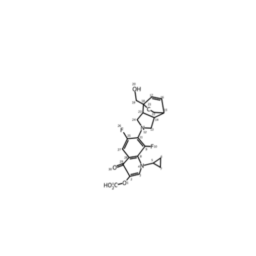 O=C(O)Oc1cn(C2CC2)c2c(F)c(N3CC4C5C=CC(CO)(CC5)C4C3)c(F)cc2c1=O